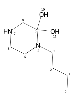 CCCCN1CCNCC1(O)O